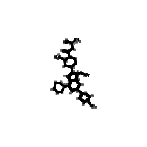 CC(C)Cn1c(N2CCN(C(=O)C[C@@H](C)O)[C@H](C)C2)nc2c(N3CCOCC3)nc(-c3cnc(N)nc3)nc21